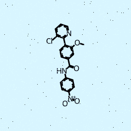 COc1cc(C(=O)Nc2ccc([N+](=O)[O-])cc2)ccc1-c1ncccc1Cl